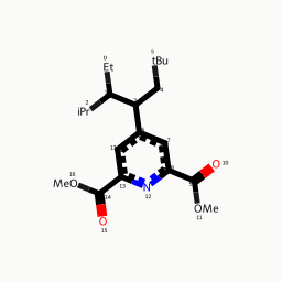 CCC(C(C)C)C(CC(C)(C)C)c1cc(C(=O)OC)nc(C(=O)OC)c1